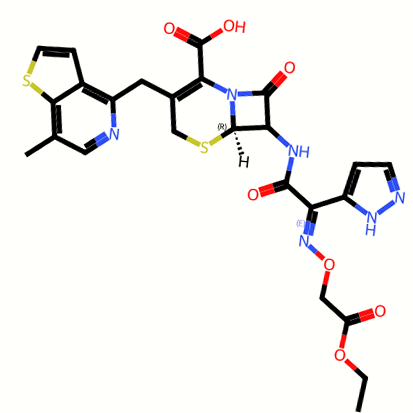 CCOC(=O)CO/N=C(/C(=O)NC1C(=O)N2C(C(=O)O)=C(Cc3ncc(C)c4sccc34)CS[C@H]12)c1ccn[nH]1